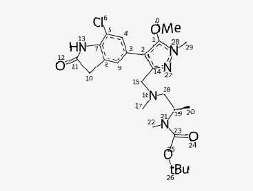 COc1c(-c2cc(Cl)c3c(c2)CC(=O)N3)c(CN(C)C[C@@H](C)N(C)C(=O)OC(C)(C)C)nn1C